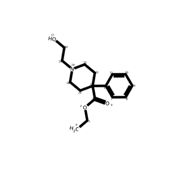 CCOC(=O)C1(c2ccccc2)CCN(CCO)CC1